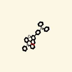 c1ccc(N(c2ccccc2)c2ccc(-c3cc4c5c(cccc5c3)-c3c(cccc3N(c3ccccc3)c3ccccc3)O4)cc2)cc1